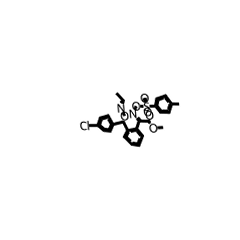 CC=NOC(c1ccc(Cl)cc1)c1ccccc1C(=NOS(=O)(=O)c1ccc(C)cc1)C(=O)OC